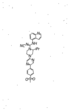 CC(C)C1CN(c2cnc(-c3ccc(S(C)(=O)=O)cc3)cn2)CCN1/C(=N\C#N)Nc1cccc2ncccc12